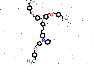 C=Cc1ccc(COCc2ccc(N(c3ccccc3)c3ccc(CCc4ccc(N(c5ccc(COCc6ccc(C=C)cc6)cc5)c5ccc(COCc6ccc(C=C)cc6)cc5)cc4)cc3)cc2)cc1